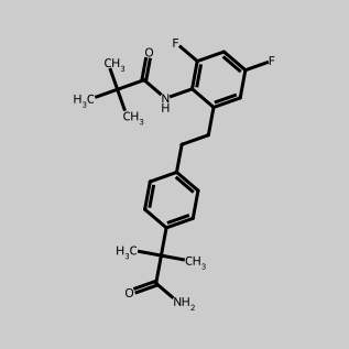 CC(C)(C)C(=O)Nc1c(F)cc(F)cc1CCc1ccc(C(C)(C)C(N)=O)cc1